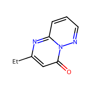 CCc1cc(=O)n2ncccc2n1